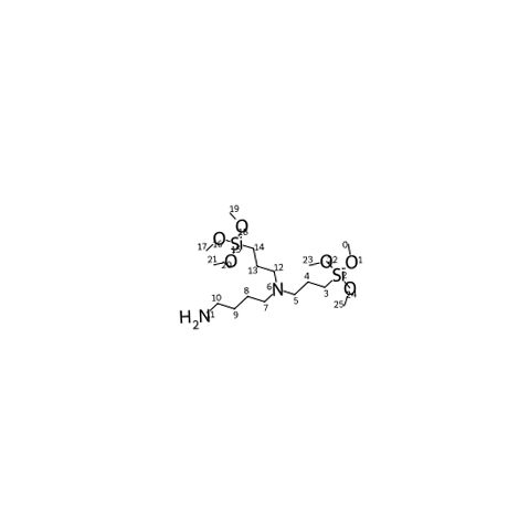 CO[Si](CCCN(CCCCN)CCC[Si](OC)(OC)OC)(OC)OC